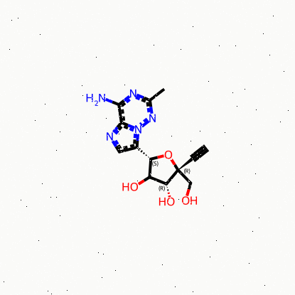 C#C[C@]1(CO)O[C@@H](c2cnc3c(N)nc(C)nn23)C(O)[C@H]1O